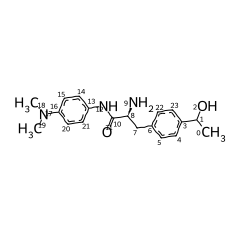 CC(O)c1ccc(C[C@H](N)C(=O)Nc2ccc(N(C)C)cc2)cc1